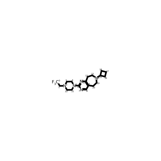 FC(F)(F)CN1CCN(c2ncc3c(n2)CCN(C2CCC2)CC3)CC1